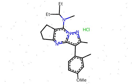 CCC(CC)N(C)c1c2c(nc3c(-c4ccc(OC)cc4C)c(C)nn13)CCC2.Cl